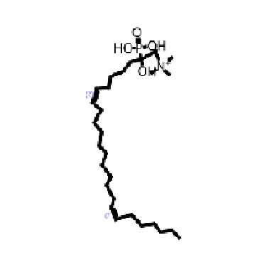 CCCCCC/C=C\CCCCCCCCC/C=C\CCCCC(O)(C[N+](C)(C)C)P(=O)(O)O